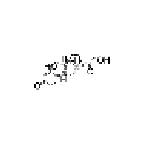 C[C@]12CC[C@H]3[C@@H](C=CC4=CC(=O)CC[C@@]43CO)[C@@H]1CC[C@@H]2C(=O)CO